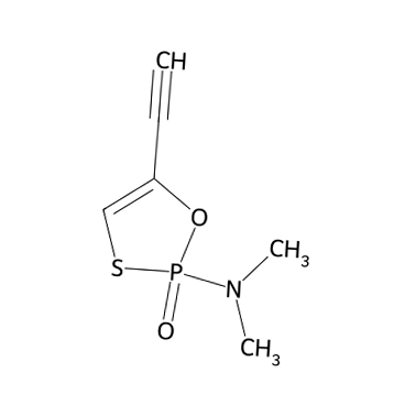 C#CC1=CSP(=O)(N(C)C)O1